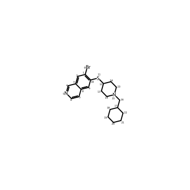 Brc1cc2cnccc2cc1SC1CCN(CC2CCCCC2)CC1